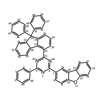 c1ccc(-c2nc(-c3ccc4oc5ccccc5c4c3)nc(-c3cccc4c3-c3ccccc3C4(c3ccccc3)c3ccccc3)n2)cc1